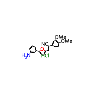 COc1ccc(/C(C#N)=C/c2ccc(-c3cccc(N)c3)o2)cc1OC.Cl